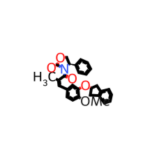 COc1ccc(C=C(C)C(=O)N2C(=O)OC[C@H]2c2ccccc2)cc1OC1Cc2ccccc2C1